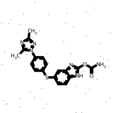 Cc1nc(C)n(-c2ccc(Sc3ccc4[nH]c(OC(N)=O)nc4c3)cc2)n1